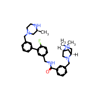 C[C@H]1CN(Cc2cccc(-c3cc(CNC(=O)c4cccc(CN5C[C@@H]6C[C@H]5C[N+]6(C)C)c4)ccc3F)c2)CCN1